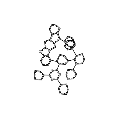 c1ccc(-c2nc(-c3ccccc3)nc(-c3cc(-c4c(-c5ccccc5)cccc4-c4ccccc4)ccc3-c3cccc4oc5cc6c7ccccc7n(-c7ccccc7)c6cc5c34)n2)cc1